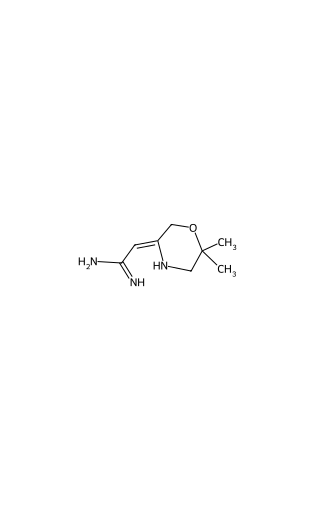 CC1(C)CN/C(=C\C(=N)N)CO1